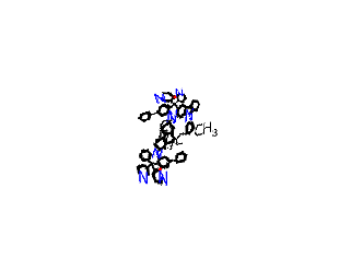 Cc1cc(C)cc(-n2c3ccccc3c3cc4c(cc32)N(c2ccc3c(ccc5cc(N6c7ccccc7C(c7cccnc7)(c7cccnc7)c7ccc(-c8ccccc8)cc76)ccc53)c2)c2cc(-c3ccccc3)ccc2C4(c2cccnc2)c2cccnc2)c1